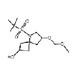 COCOC1CN(S(=O)(=O)C(C)(C)C)C2(CC(O)C2)C1